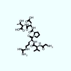 CC(C)[C@H](NC(=O)CN)C(=O)N[C@@H](CCCNC(=N)N)C(=O)N1CCC[C@H]1C(=O)N[C@@H](CC(=O)O)C(=O)N[C@H](C(=O)O)[C@@H](C)O